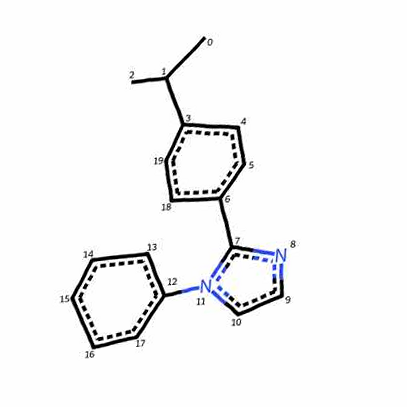 CC(C)c1ccc(-c2nccn2-c2ccccc2)cc1